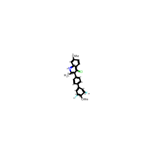 COc1ccc2c(Cl)c(-c3ccc(-c4cc(F)c(OC)c(F)c4)cc3)c(C)nc2c1